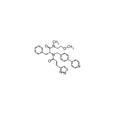 COCCN(C)C(=O)[C@H](Cc1ccccc1)N(Cc1ccc(-c2ccncc2)cc1)C(=O)C=Cc1csnn1